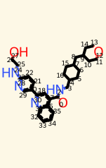 O=C(NCC1CCC(CC2CCOCC2)CC1)c1cc(-c2ccc(NCCO)nc2)nc2ccccc12